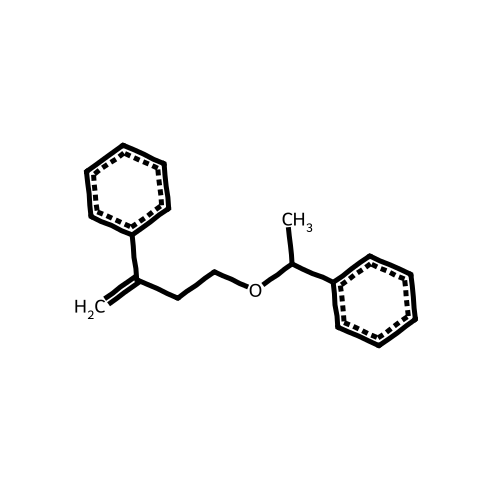 C=C(CCOC(C)c1ccccc1)c1ccccc1